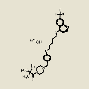 CC(C)(C)C(=O)N1CCN(Cc2ccc(OCCCCCSc3ccnc4cc(C(F)(F)F)ccc34)cc2)CC1.Cl.Cl